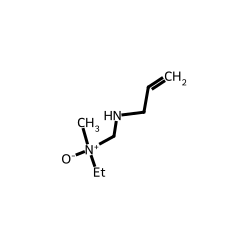 C=CCNC[N+](C)([O-])CC